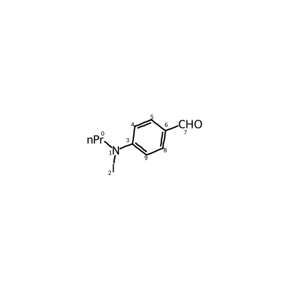 CCCN(I)c1ccc(C=O)cc1